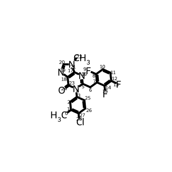 Cc1cc(-n2c(Cc3c(F)ccc(F)c3F)nc3c(ncn3C)c2=O)ccc1Cl